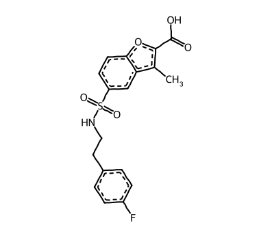 Cc1c(C(=O)O)oc2ccc(S(=O)(=O)NCCc3ccc(F)cc3)cc12